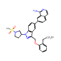 CCOC(=O)Cc1ccccc1OCc1nn(C2CCN(S(=O)(=O)CC)C2)c2ccc(-c3ccc4ccnc(N)c4c3)cc12